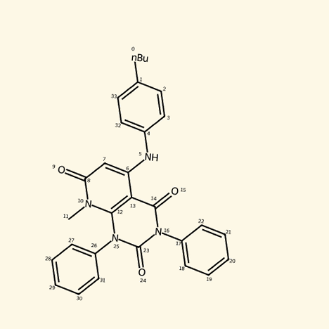 CCCCc1ccc(Nc2cc(=O)n(C)c3c2c(=O)n(-c2ccccc2)c(=O)n3-c2ccccc2)cc1